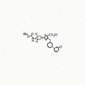 CCOC(=O)c1sc(N2C[C@@H]3C(NC(=O)OC(C)(C)C)[C@@H]3C2)nc1Cc1cccc(-c2cccc(Cl)c2)c1